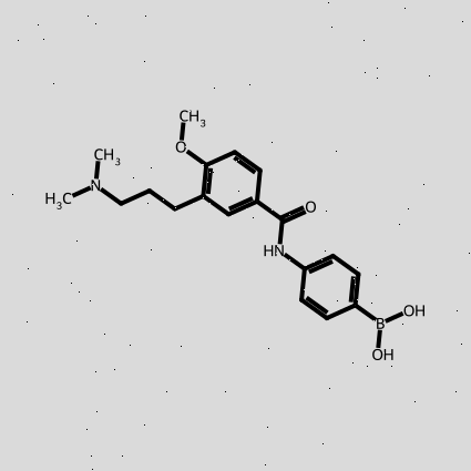 COc1ccc(C(=O)Nc2ccc(B(O)O)cc2)cc1CCCN(C)C